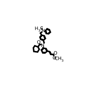 COC(=O)/C=C/c1cccc(N(Cc2ccc(CN(C)c3ccccc3)cc2)C(=O)C2CCCCC2)c1